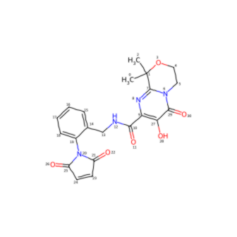 CC1(C)OCCn2c1nc(C(=O)NCc1ccccc1N1C(=O)C=CC1=O)c(O)c2=O